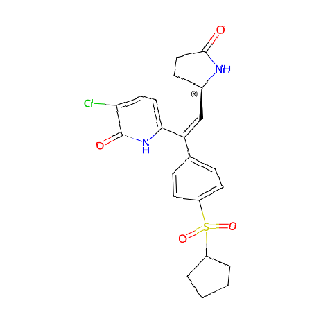 O=C1CC[C@H](C=C(c2ccc(S(=O)(=O)C3CCCC3)cc2)c2ccc(Cl)c(=O)[nH]2)N1